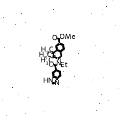 CCN(C(=O)c1ccc2nc[nH]c2c1)[C@@H]1Cc2ccc(C(=O)OC)cc2C(C)(C)[C@@H]1C